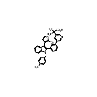 Cc1ccc(Sn2c(-c3cccc(-c4cncc(C(C)(C)C(=O)O)c4)c3)c(-c3ccsc3C#N)c3ccccc32)cc1